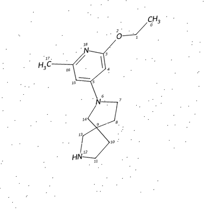 CCOc1cc(N2CCC3(CCNC3)C2)cc(C)n1